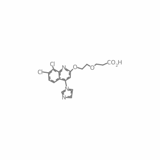 O=C(O)CCOCCOc1cc(-n2ccnc2)c2ccc(Cl)c(Cl)c2n1